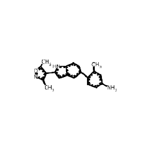 Cc1cc(N)ccc1-c1ccc2[nH]c(-c3c(C)noc3C)cc2c1